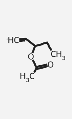 [CH]=CC(CC)OC(C)=O